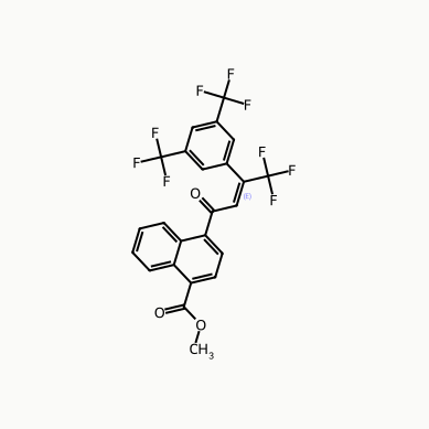 COC(=O)c1ccc(C(=O)/C=C(\c2cc(C(F)(F)F)cc(C(F)(F)F)c2)C(F)(F)F)c2ccccc12